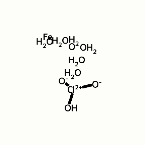 O.O.O.O.O.O.[Fe].[O-][Cl+2]([O-])O